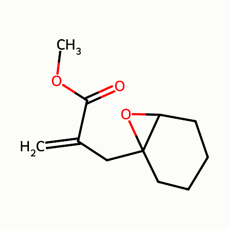 C=C(CC12CCCCC1O2)C(=O)OC